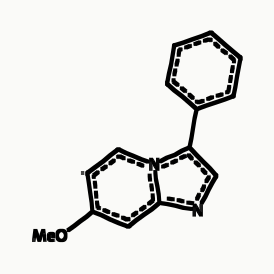 COc1[c]cn2c(-c3ccccc3)cnc2c1